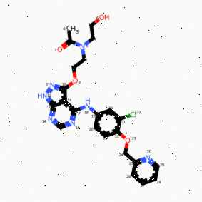 CC(=O)N(CCO)CCOc1n[nH]c2ncnc(Nc3ccc(OCc4ccccn4)c(Cl)c3)c12